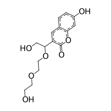 O=c1oc2cc(O)ccc2cc1C(CO)OCCOCCO